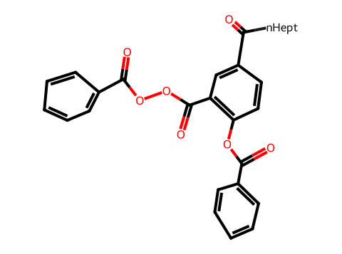 CCCCCCCC(=O)c1ccc(OC(=O)c2ccccc2)c(C(=O)OOC(=O)c2ccccc2)c1